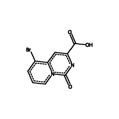 O=C(O)c1cc2c(Br)cccn2c(=O)n1